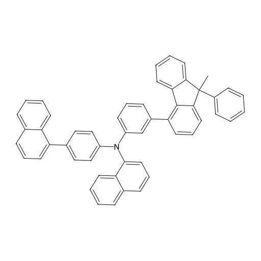 CC1(c2ccccc2)c2ccccc2-c2c(-c3cccc(N(c4ccc(-c5cccc6ccccc56)cc4)c4cccc5ccccc45)c3)cccc21